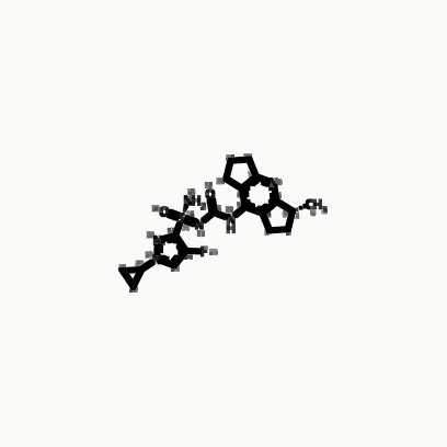 C[C@@H]1CCc2c1nc1c(c2NC(=O)N=[S@](N)(=O)c2nn(C3CC3)cc2F)CCC1